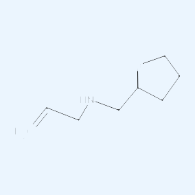 C=CCNCC1CCCO1